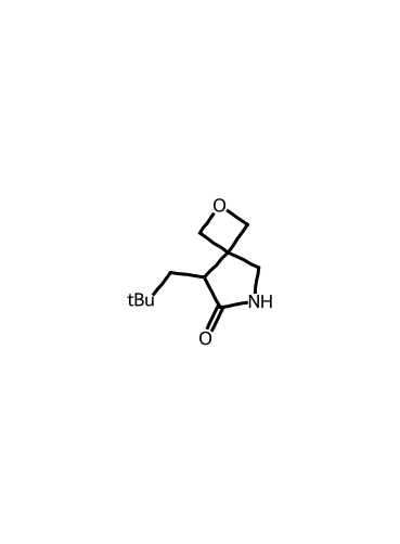 CC(C)(C)CC1C(=O)NCC12COC2